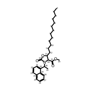 CCCCCCCCCCCCCC1OC(=O)N(C(C)c2cccc3ccccc23)C1C(=O)OC